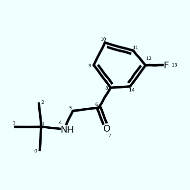 CC(C)(C)NCC(=O)c1cccc(F)c1